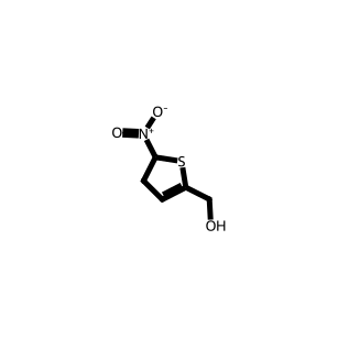 O=[N+]([O-])C1CC=C(CO)S1